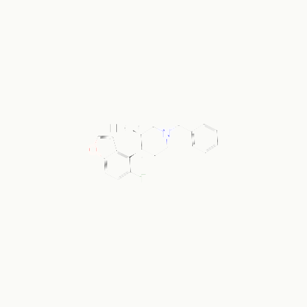 C[C@H]1CN(Cc2ccccc2)CC[C@H]1c1c(F)ccc2occc12